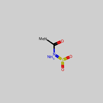 CNC(=O)N=S(=O)=O.N